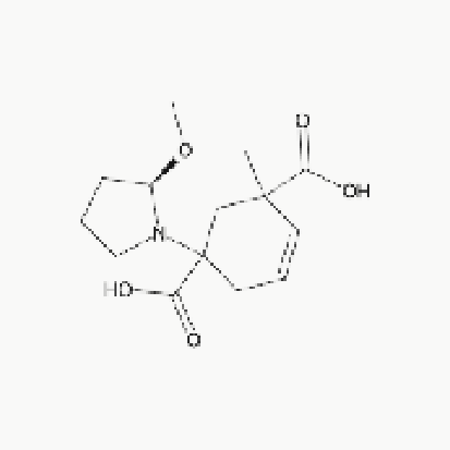 CO[C@@H]1CCCN1C1(C(=O)O)CC=CC(C)(C(=O)O)C1